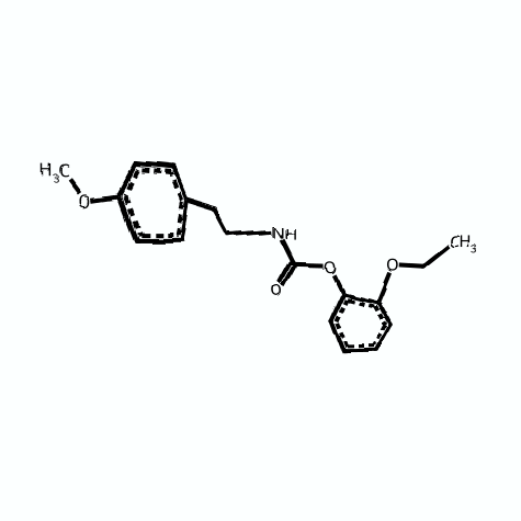 CCOc1ccccc1OC(=O)NCCc1ccc(OC)cc1